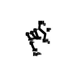 CC(=O)[O-].CC(=O)[O-].CC(=O)[O-].CC(=O)[O-].NCCN.[Fe+3].[K+]